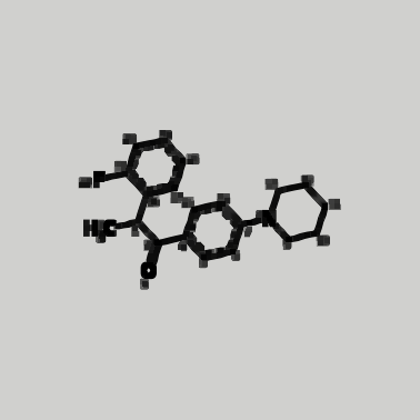 CC(C(=O)c1ccc(N2CCCCC2)cc1)c1ccccc1F